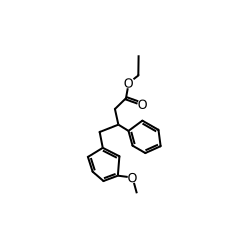 CCOC(=O)CC(Cc1cccc(OC)c1)c1ccccc1